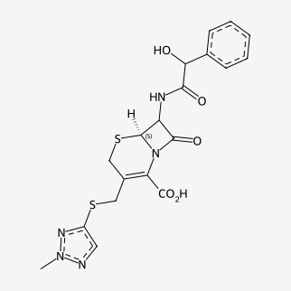 Cn1ncc(SCC2=C(C(=O)O)N3C(=O)C(NC(=O)C(O)c4ccccc4)[C@@H]3SC2)n1